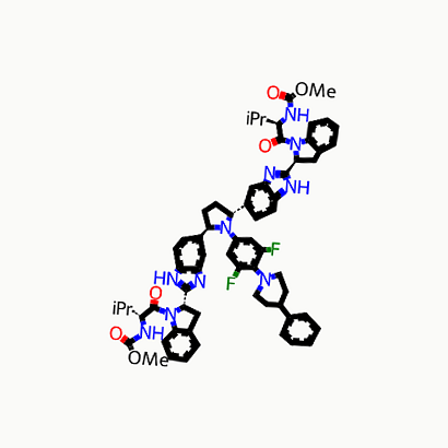 COC(=O)N[C@@H](C(=O)N1c2ccccc2C[C@H]1c1nc2cc([C@H]3CC[C@H](c4ccc5[nH]c([C@@H]6Cc7ccccc7N6C(=O)[C@H](NC(=O)OC)C(C)C)nc5c4)N3c3cc(F)c(N4CCC(c5ccccc5)CC4)c(F)c3)ccc2[nH]1)C(C)C